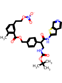 Cc1ccc(CCO[N+](=O)[O-])cc1C(=O)OCc1ccc(C(CNC(=O)OC(C)(C)C)C(=O)Nc2cc3ccncc3s2)cc1